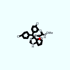 CONC(=O)[C@@H](NC1(C(c2ccc(Cl)cc2)c2ccc(Cl)cc2)N=CNc2ccccc21)C(C)C